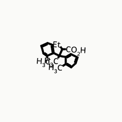 CCC(C(=O)O)C(C)(c1ccccc1C)c1ccccc1C